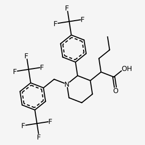 CCCC(C(=O)O)C1CCCN(Cc2cc(C(F)(F)F)ccc2C(F)(F)F)C1c1ccc(C(F)(F)F)cc1